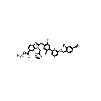 COC(=O)c1ccc2nc(Cc3cc(F)c(-c4cccc(OCc5ccc(C#N)cc5F)n4)cc3F)n(Cc3ncco3)c2c1